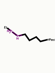 CCCCCCCCCP[PH3]CC